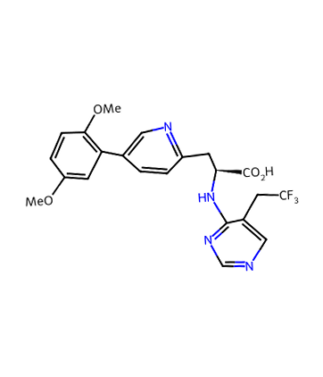 COc1ccc(OC)c(-c2ccc(C[C@H](Nc3ncncc3CC(F)(F)F)C(=O)O)nc2)c1